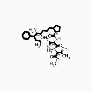 CCCC(c1ccccc1)[C@H](N)[C@@H](O)CCCC1CCC[C@H]1C(=O)N[C@@H](C(=O)N[C@H](C(=O)OC)C(C)C)C(C)C